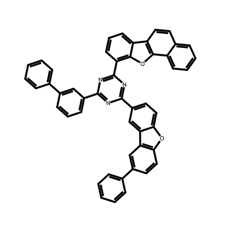 c1ccc(-c2cccc(-c3nc(-c4ccc5oc6ccc(-c7ccccc7)cc6c5c4)nc(-c4cccc5c4oc4c6ccccc6ccc54)n3)c2)cc1